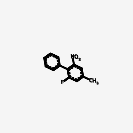 Cc1cc(F)c(-c2ccccc2)c([N+](=O)[O-])c1